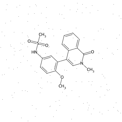 COc1ccc(NS(C)(=O)=O)cc1-c1cn(C)c(=O)c2ccccc12